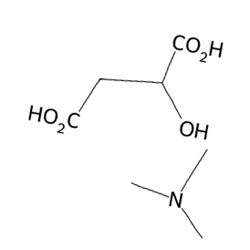 CN(C)C.O=C(O)CC(O)C(=O)O